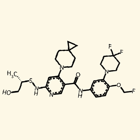 C[C@@H](CO)SNc1cc(N2CCC3(CC2)CC3)c(C(=O)Nc2ccc(OCF)c(N3CCC(F)(F)CC3)c2)cn1